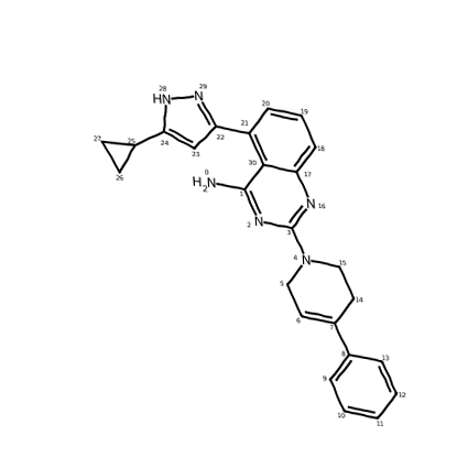 Nc1nc(N2CC=C(c3ccccc3)CC2)nc2cccc(-c3cc(C4CC4)[nH]n3)c12